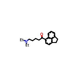 CCN(CC)CCCCC(=O)c1ccc2c3c(cccc13)CC2